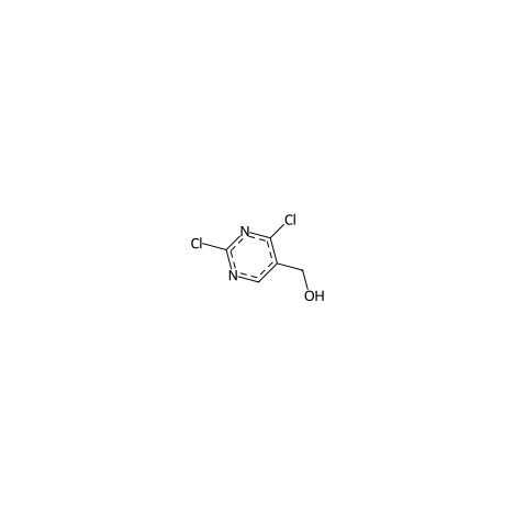 OCc1cnc(Cl)nc1Cl